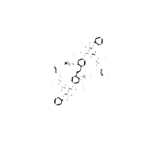 O=S(=O)(O)c1cc(Nc2nc(NCCNCCO)nc(Nc3ccccc3)n2)ccc1/C=C/c1ccc(Nc2nc(NCCNCCO)nc(Nc3ccccc3)n2)cc1SOOO